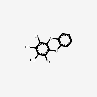 CCc1c(O)c(O)c(CC)c2c1Oc1ccccc1O2